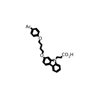 CC(=O)c1ccc(OCCCCOc2ccc3c4ccccc4n(CCC(=O)O)c3c2)cc1